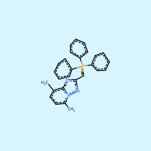 Cc1ccc(C)n2nc(C=P(c3ccccc3)(c3ccccc3)c3ccccc3)nc12